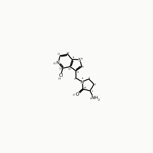 NC1CCN(Cc2csc3ccnc(Cl)c23)C1=O